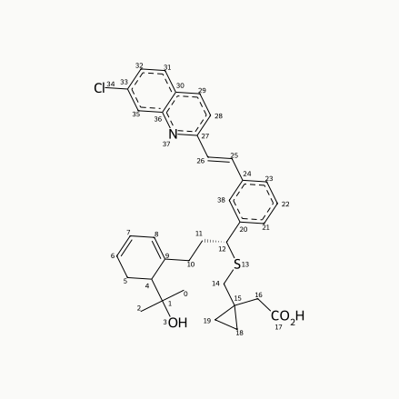 CC(C)(O)C1CC=CC=C1CC[C@@H](SCC1(CC(=O)O)CC1)c1cccc(/C=C/c2ccc3ccc(Cl)cc3n2)c1